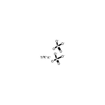 O=P([O-])([O-])[O-].O=P([O-])([O-])[O-].[K+].[K+].[Ti+4]